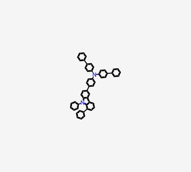 c1ccc(-c2ccc(N(c3ccc(-c4ccccc4)cc3)c3ccc(-c4ccc5c(c4)c4cccc(-c6ccccc6)c4n5-c4ccccc4)cc3)cc2)cc1